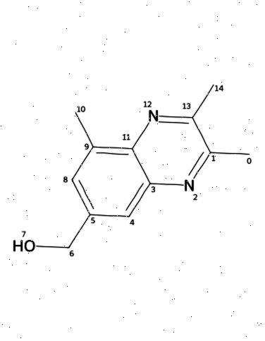 Cc1nc2cc(CO)cc(C)c2nc1C